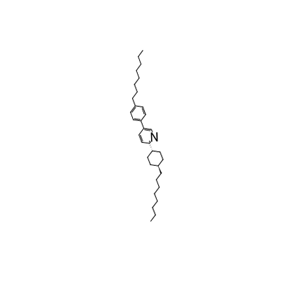 CCCCCCCCc1ccc(-c2ccc([C@H]3CC[C@H](CCCCCCCC)CC3)nc2)cc1